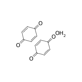 O.O=C1C=CC(=O)C=C1.O=C1C=CC(=O)C=C1